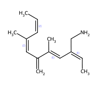 C=C(/C=C(C)\C=C/C)/C(C)=C/C(=C\C)CN